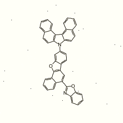 c1ccc2c(c1)ccc1c2c2c3ccccc3ccc2n1-c1ccc2c(c1)oc1c3ccccc3c(-c3nc4ccccc4o3)cc21